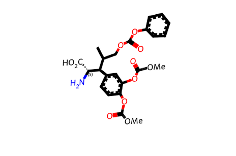 COC(=O)Oc1ccc(C(C(C)COC(=O)Oc2ccccc2)[C@H](N)C(=O)O)cc1OC(=O)OC